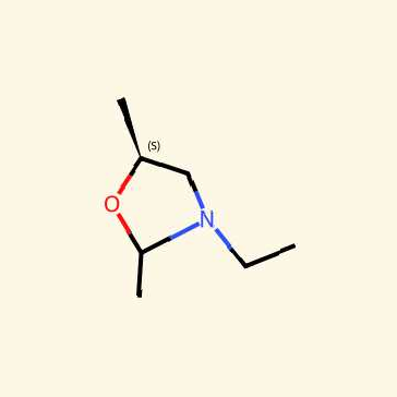 CCN1C[C@H](C)OC1C